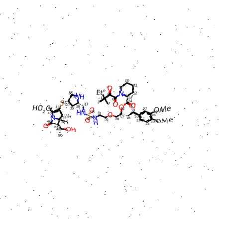 CCC(C)(C)C(=O)C(=O)N1CCCC[C@H]1C(=O)O[C@H](CCc1ccc(OC)c(OC)c1)COCCNS(=O)(=O)NC[C@@H]1C[C@H](SC2=C(C(=O)O)N3C(=O)[C@H]([C@@H](C)O)[C@H]3[C@H]2C)CN1